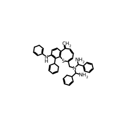 C=C1/C=C\C=C(\CN(C(N)c2ccccc2)C(N)C2C=CC=CC2)Sc2c1ccc(NC1=CCCC=C1)c2C1C=CC=CC1